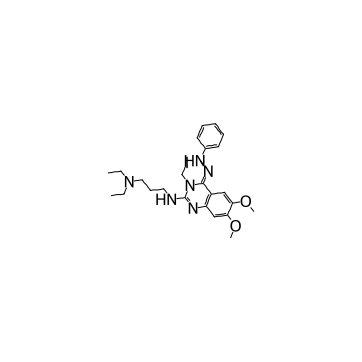 CCN(CC)CCCNc1nc2cc(OC)c(OC)cc2/c(=N/Nc2ccccc2)n1CI